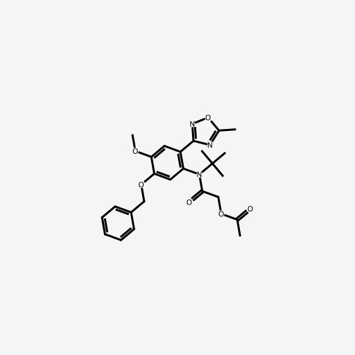 COc1cc(-c2noc(C)n2)c(N(C(=O)COC(C)=O)C(C)(C)C)cc1OCc1ccccc1